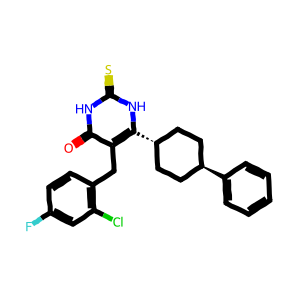 O=c1[nH]c(=S)[nH]c([C@H]2CC[C@H](c3ccccc3)CC2)c1Cc1ccc(F)cc1Cl